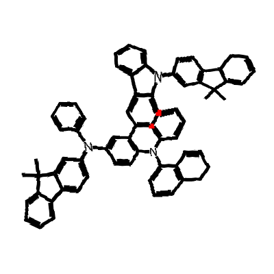 CC1(C)C2=CC=CCC2c2ccc(-n3c4ccccc4c4cc(-c5cc(N(c6ccccc6)c6ccc7c(c6)C(C)(C)c6ccccc6-7)ccc5N(c5ccccc5)c5cccc6c5C=CCC6)ccc43)cc21